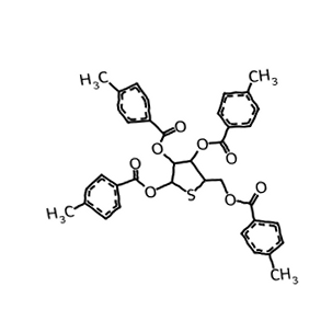 Cc1ccc(C(=O)OCC2SC(OC(=O)c3ccc(C)cc3)C(OC(=O)c3ccc(C)cc3)C2OC(=O)c2ccc(C)cc2)cc1